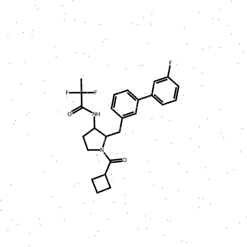 CC(F)(F)C(=O)NC1CCN(C(=O)C2CCC2)C1Cc1cccc(-c2cccc(F)c2)c1